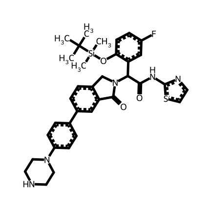 CC(C)(C)[Si](C)(C)Oc1ccc(F)cc1C(C(=O)Nc1nccs1)N1Cc2ccc(-c3ccc(N4CCNCC4)cc3)cc2C1=O